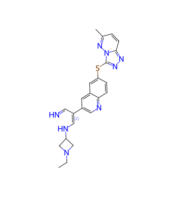 CCN1CC(N/C=C(\C=N)c2cnc3ccc(Sc4nnc5ccc(C)nn45)cc3c2)C1